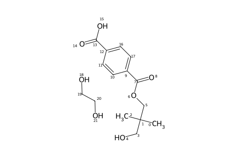 CC(C)(CO)COC(=O)c1ccc(C(=O)O)cc1.OCCO